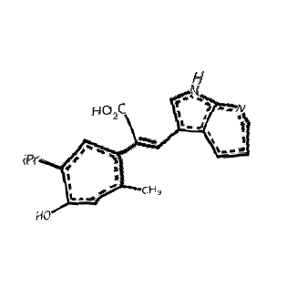 Cc1cc(O)c(C(C)C)cc1C(=Cc1c[nH]c2ncccc12)C(=O)O